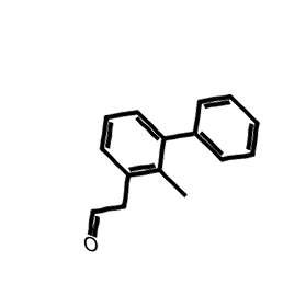 Cc1c(CC=O)cccc1-c1ccccc1